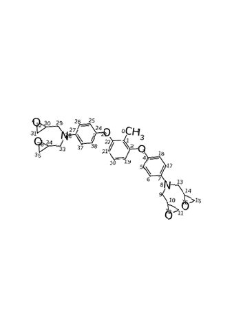 Cc1c(Oc2ccc(N(CC3CO3)CC3CO3)cc2)cccc1Oc1ccc(N(CC2CO2)CC2CO2)cc1